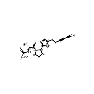 C#CC#CCCc1cnc([C@H]2CCCN2C(=O)[C@H](NC(=O)OC)C(C)C)[nH]1